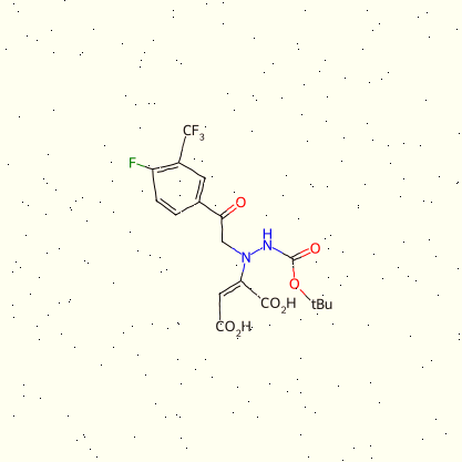 CC(C)(C)OC(=O)NN(CC(=O)c1ccc(F)c(C(F)(F)F)c1)C(=CC(=O)O)C(=O)O